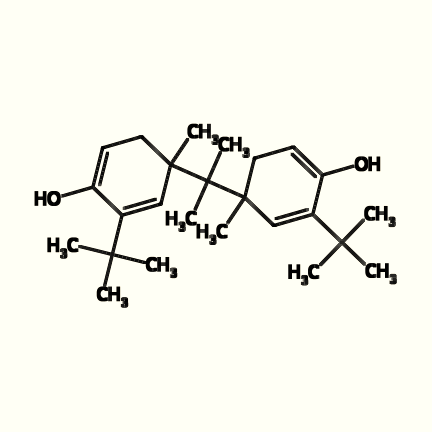 CC(C)(C)C1=CC(C)(C(C)(C)C2(C)C=C(C(C)(C)C)C(O)=CC2)CC=C1O